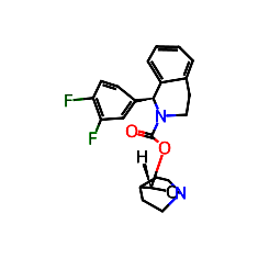 O=C(O[C@@H]1CN2CCC1CC2)N1CCc2ccccc2[C@@H]1c1ccc(F)c(F)c1